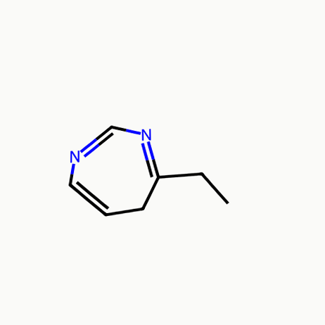 CCC1=NC=NC=CC1